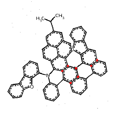 CC(C)c1cc2ccc3c(N(c4ccccc4-c4ccccc4)c4cccc5c4oc4ccccc45)cc(N(c4ccccc4-c4ccccc4)c4cccc5c4oc4ccccc45)c4ccc(c1)c2c34